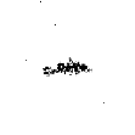 COCc1c(-c2cccc(OCCN3CCOCC3)c2Cl)c[nH]c1-c1cnn(C2CC(C)(O)C2)c1C(F)(F)F